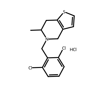 CC1Cc2sccc2CN1Cc1c(Cl)cccc1Cl.Cl